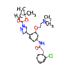 CN(C)CCOc1cc(NC(=O)Cc2ccccc2Cl)ccc1-c1cnn(C(=O)OC(C)(C)C)c1